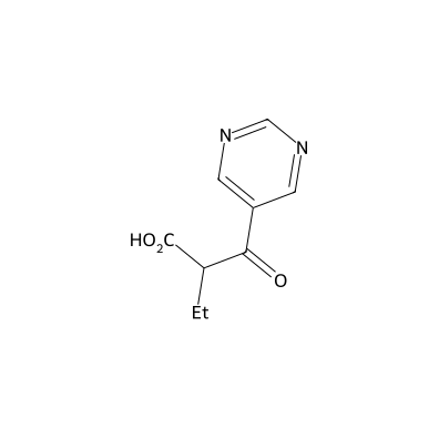 CCC(C(=O)O)C(=O)c1cncnc1